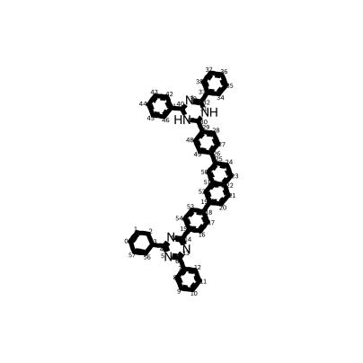 C1=CCC(c2nc(-c3ccccc3)nc(-c3ccc(-c4ccc5ccc(-c6ccc(C7NC(c8ccccc8)=NC(c8ccccc8)N7)cc6)cc5c4)cc3)n2)C=C1